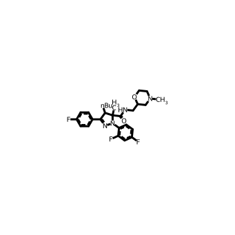 CCCCC1C(c2ccc(F)cc2)=NN(c2ccc(F)cc2F)C1(C)C(=O)NCC1CN(C)CCO1